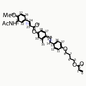 C=CC(=O)OCCCCOc1ccc(/C=N/c2ccc(OC(=O)/C=C/c3ccc(OC)c(NC(C)=O)c3)cc2C)cc1